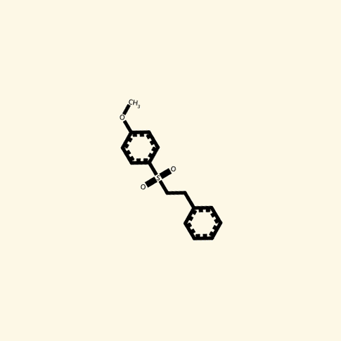 COc1ccc(S(=O)(=O)CCc2ccccc2)cc1